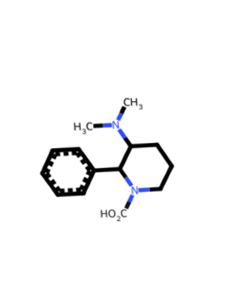 CN(C)C1CCCN(C(=O)O)C1c1ccccc1